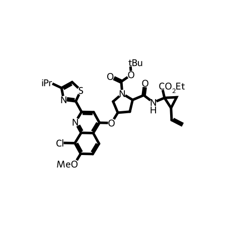 C=CC1CC1(NC(=O)C1CC(Oc2cc(-c3nc(C(C)C)cs3)nc3c(Cl)c(OC)ccc23)CN1C(=O)OC(C)(C)C)C(=O)OCC